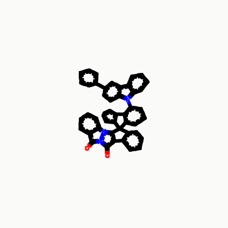 O=c1c2c(n3c4ccccc4c(=O)n13)C1(c3ccccc3-c3c(-n4c5ccccc5c5cc(-c6ccccc6)ccc54)cccc31)c1ccccc1-2